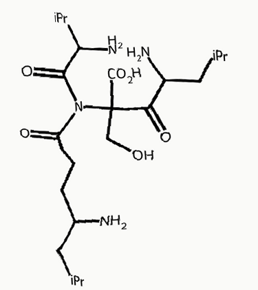 CC(C)CC(N)CCC(=O)N(C(=O)C(N)C(C)C)C(CO)(C(=O)O)C(=O)C(N)CC(C)C